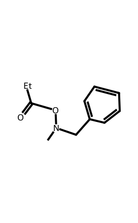 CCC(=O)ON(C)Cc1ccccc1